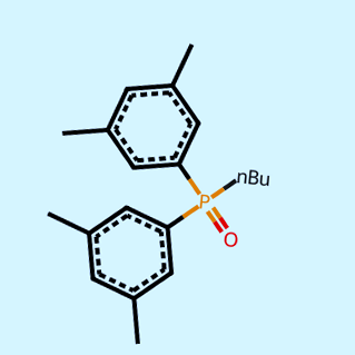 CCCCP(=O)(c1cc(C)cc(C)c1)c1cc(C)cc(C)c1